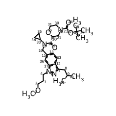 COCCCn1nc(CC(C)C)c2ccc(CN(C(=O)[C@H]3CN(C(=O)OC(C)(C)C)CCO3)C3CC3)cc21